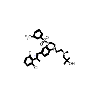 C/C(=C\c1ccc2c(c1)N(S(=O)(=O)c1cccc(C(F)(F)F)c1)CCN2CCN(C)CC(C)(C)O)c1c(F)cccc1Cl